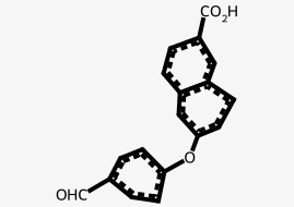 O=Cc1ccc(Oc2ccc3cc(C(=O)O)ccc3c2)cc1